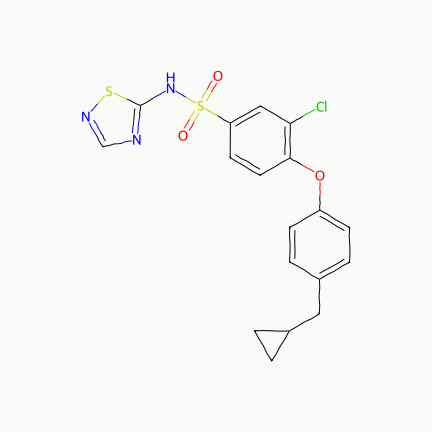 O=S(=O)(Nc1ncns1)c1ccc(Oc2ccc(CC3CC3)cc2)c(Cl)c1